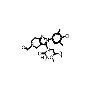 COC(CN(C(N)=O)c1c2c(nn1-c1cc(C)c(Cl)c(C)c1)CCN([C]=O)C2)OC